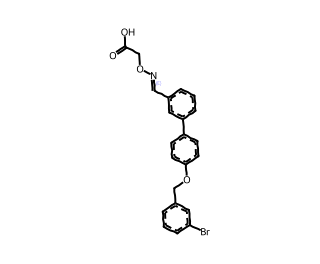 O=C(O)CO/N=C/c1cccc(-c2ccc(OCc3cccc(Br)c3)cc2)c1